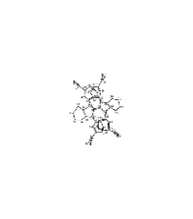 N#Cc1cccc(N2C(=C3N(c4cccc(C#N)c4)C4CCCCC4N3c3cccc(C#N)c3)N(c3cccc(C#N)c3)C3CCCCC32)c1